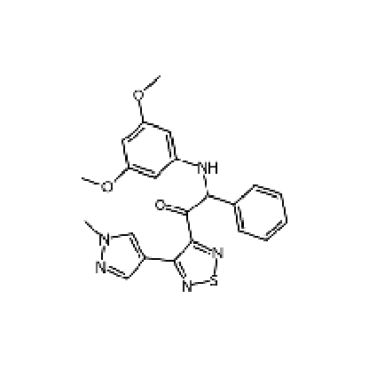 COc1cc(NC(C(=O)c2nsnc2-c2cnn(C)c2)c2ccccc2)cc(OC)c1